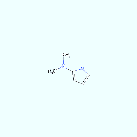 CN(C)C1=CC=C[N]1